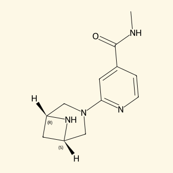 CNC(=O)c1ccnc(N2C[C@H]3C[C@@H](C2)N3)c1